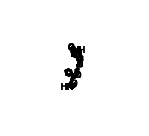 O=C1CN2Cc3cc(OCCCC(=O)N(CCC4CNCCO4)C4CCCCC4)ccc3N=C2N1